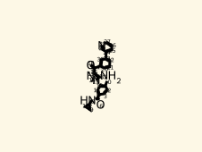 Cc1ccc(C(=O)NC2CC2)cc1-n1cnc(C(=O)c2cccc(-c3cccnc3)c2)c1N